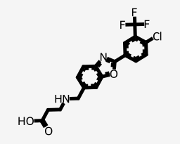 O=C(O)CCNCc1ccc2nc(-c3ccc(Cl)c(C(F)(F)F)c3)oc2c1